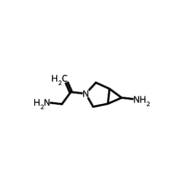 C=C(CN)N1CC2C(N)C2C1